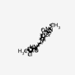 CSc1ncc(Br)c(C(=O)N2CC3CN(CCCNC(=O)c4ccc(C)c(Cl)c4)CC3C2)n1